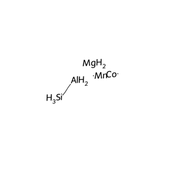 [AlH2][SiH3].[Co].[MgH2].[Mn]